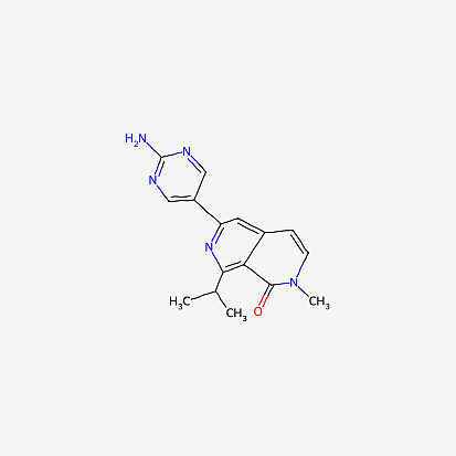 CC(C)c1nc(-c2cnc(N)nc2)cc2ccn(C)c(=O)c12